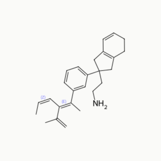 C=C(C)C(/C=C\C)=C(\C)c1cccc(C2(CCN)CC3=C(CCC=C3)C2)c1